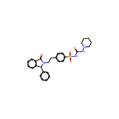 O=C(NN1CCCCC1)NS(=O)(=O)c1ccc(CCN2C(=O)c3ccccc3C2c2ccccc2)cc1